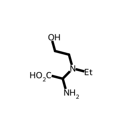 CCN(CCO)C(N)C(=O)O